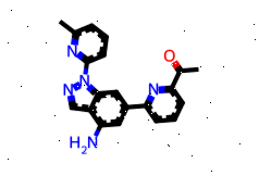 CC(=O)c1cccc(-c2cc(N)c3cnn(-c4cccc(C)n4)c3c2)n1